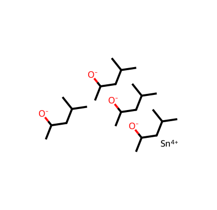 CC(C)CC(C)[O-].CC(C)CC(C)[O-].CC(C)CC(C)[O-].CC(C)CC(C)[O-].[Sn+4]